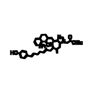 C=C1C=c2c(ncn2CC(=O)OCC(C)C)=C(/C=C2/CCc3ccccc3C2=O)N=C1C/C(=C/CC/C=C/c1ccc(O)cc1)CCC